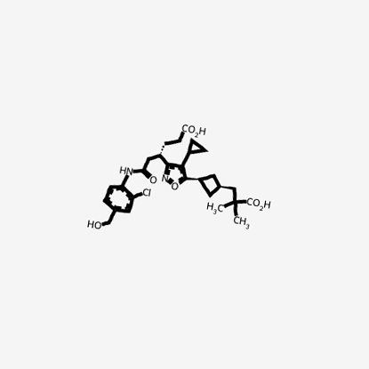 CC(C)(C[C@H]1C[C@@H](c2onc([C@@H](CCC(=O)O)CC(=O)Nc3ccc(CO)cc3Cl)c2C2CC2)C1)C(=O)O